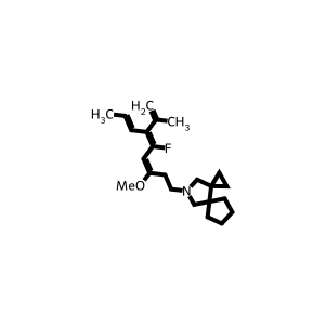 C=C(C)C(/C=C/C)=C(F)/C=C(\CCN1CC2(CCCC2)C2(CC2)C1)OC